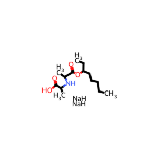 CCCCCC(CC)OC(=O)C(C)NC(C)C(=O)O.[NaH].[NaH]